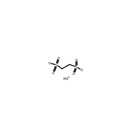 O=S(=O)([O-])CCS(=O)(=O)[O-].[Mg+2]